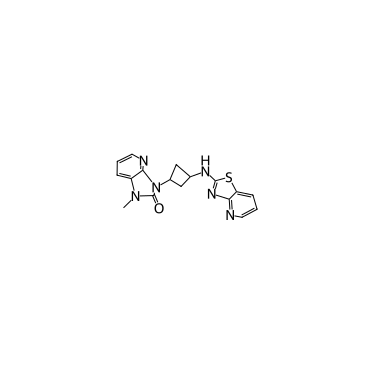 Cn1c(=O)n(C2CC(Nc3nc4ncccc4s3)C2)c2ncccc21